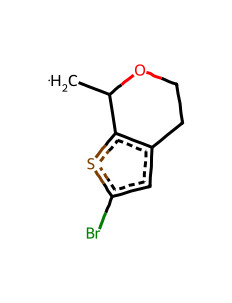 [CH2]C1OCCc2cc(Br)sc21